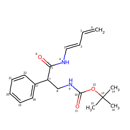 C=C/C=C/NC(=O)C(CNC(=O)OC(C)(C)C)c1ccccc1